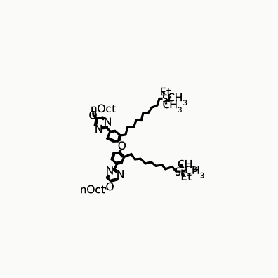 CCCCCCCCOc1cnc(-c2ccc(Oc3ccc(-c4ncc(OCCCCCCCC)cn4)cc3CCCCCCCCCC[Si](C)(C)CC)c(CCCCCCCCCC[Si](C)(C)CC)c2)nc1